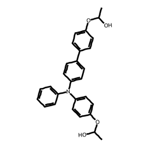 CC(O)Oc1ccc(-c2ccc(N(c3ccccc3)c3ccc(OC(C)O)cc3)cc2)cc1